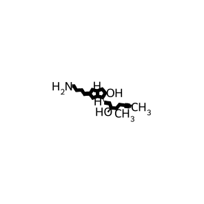 CC#CC[C@@H](C)[C@@H](O)/C=C/[C@@H]1[C@H]2CC(=CCCCN)C[C@H]2C[C@H]1O